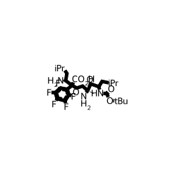 CC(C)CC(NC(=O)OC(C)(C)C)C(=O)[C@@](C)(N)CC(=O)C(C(=O)O)(c1c(F)c(F)c(F)c(F)c1F)[C@@H](N)CC(C)C